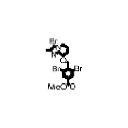 COC(=O)c1cc(Br)c(COc2cccn3c(Br)c(C)nc23)c(Br)c1